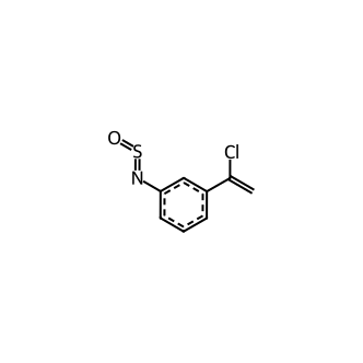 C=C(Cl)c1cccc(N=S=O)c1